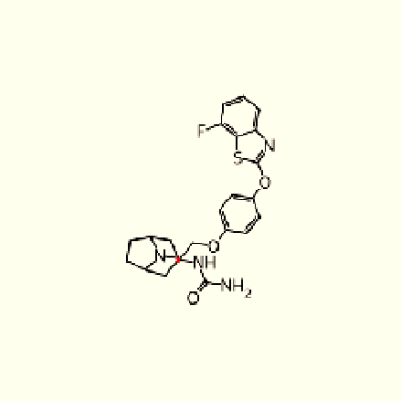 NC(=O)NC1CC2CCC(C1)N2CCOc1ccc(Oc2nc3cccc(F)c3s2)cc1